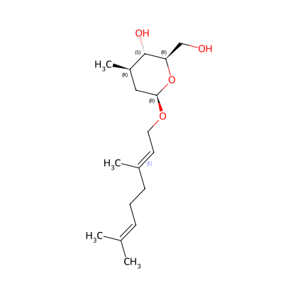 CC(C)=CCC/C(C)=C/CO[C@H]1C[C@@H](C)[C@H](O)[C@@H](CO)O1